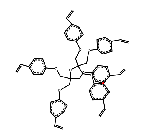 C=Cc1ccc(OCC(COc2ccc(C=C)cc2)(COc2ccc(C=C)cc2)OC(COc2ccc(C=C)cc2)(COc2ccc(C=C)cc2)COc2ccc(C=C)cc2)cc1